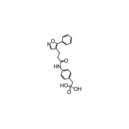 O=C(CCc1cnoc1-c1ccccc1)Nc1ccc(CP(=O)(O)O)cc1